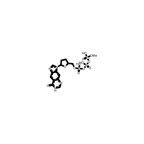 COP(=O)(O)OP(=O)(O)OP(=O)(O)OCC1CCC(n2cnc3cc4c(=O)[nH]cnc4cc32)O1